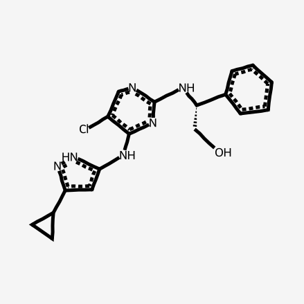 OC[C@H](Nc1ncc(Cl)c(Nc2cc(C3CC3)n[nH]2)n1)c1ccccc1